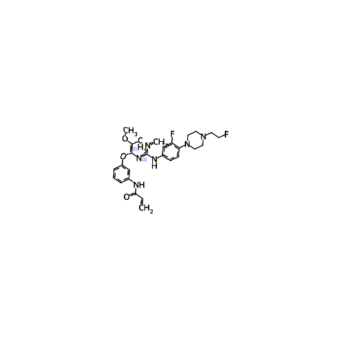 C=CC(=O)Nc1cccc(OC(/N=C(\N=C)Nc2ccc(N3CCN(CCF)CC3)c(F)c2)=C(/C)OC)c1